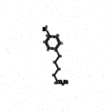 CCOC(=O)CC[CH]Cc1ccc(Br)cc1